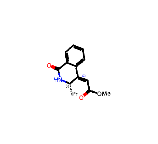 COC(=O)/C=C1/c2ccccc2C(=O)N[C@H]1C(C)C